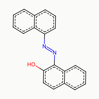 Oc1ccc2ccccc2c1/N=N/c1cccc2ccccc12